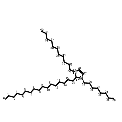 CCCCCCCCCCCCCCCCCC1N(CCCCCCCC)C=CN1CCCCCCCCCCC